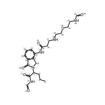 CCCC(C(=O)NC=O)N1Cc2c(NC(=O)CCNCCOCCNC=O)cccc2C1=O